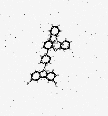 Fc1ccc2c(c1)c1cc(F)ccc1n2-c1ccc(-c2ccc3c4ccccc4n4c3c2Oc2ccccc2-4)cc1